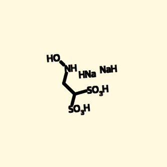 O=S(=O)(O)C(CNO)S(=O)(=O)O.[NaH].[NaH]